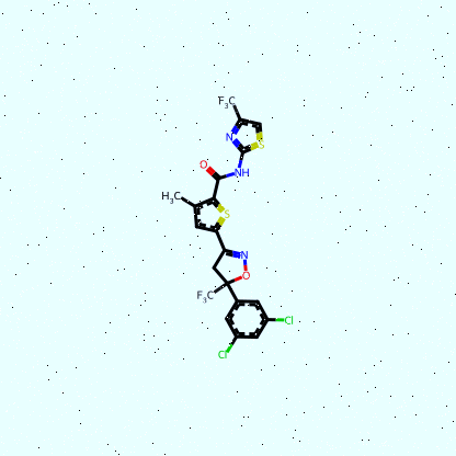 Cc1cc(C2=NOC(c3cc(Cl)cc(Cl)c3)(C(F)(F)F)C2)sc1C(=O)Nc1nc(C(F)(F)F)cs1